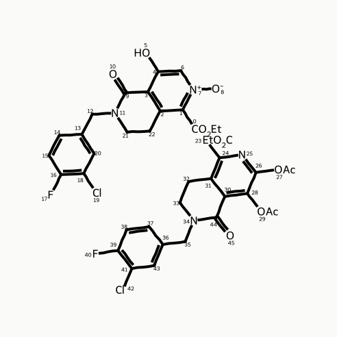 CCOC(=O)c1c2c(c(O)c[n+]1[O-])C(=O)N(Cc1ccc(F)c(Cl)c1)CC2.CCOC(=O)c1nc(OC(C)=O)c(OC(C)=O)c2c1CCN(Cc1ccc(F)c(Cl)c1)C2=O